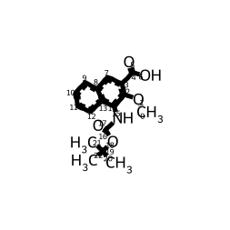 COc1c(C(=O)O)cc2ccccc2c1NC(=O)OC(C)(C)C